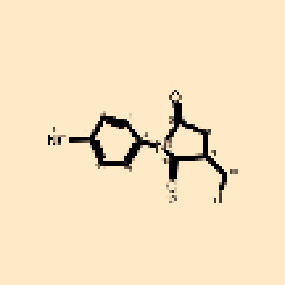 N#Cc1ccc(N2C(=O)CC(CI)C2=O)cc1